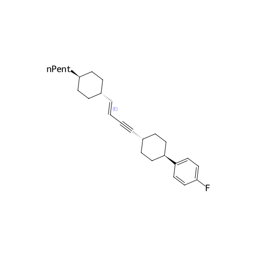 CCCCC[C@H]1CC[C@H](/C=C/C#C[C@H]2CC[C@H](c3ccc(F)cc3)CC2)CC1